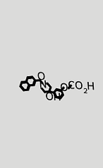 O=C(O)COc1cccc(C2(O)CCN(C(=O)c3ccc4ccccc4c3)CC2)c1